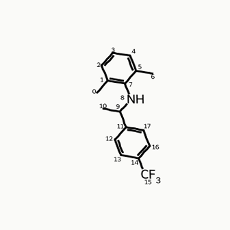 Cc1cccc(C)c1NC(C)c1ccc(C(F)(F)F)cc1